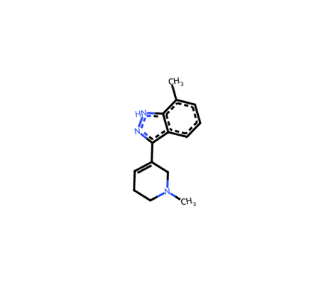 Cc1cccc2c(C3=CCCN(C)C3)n[nH]c12